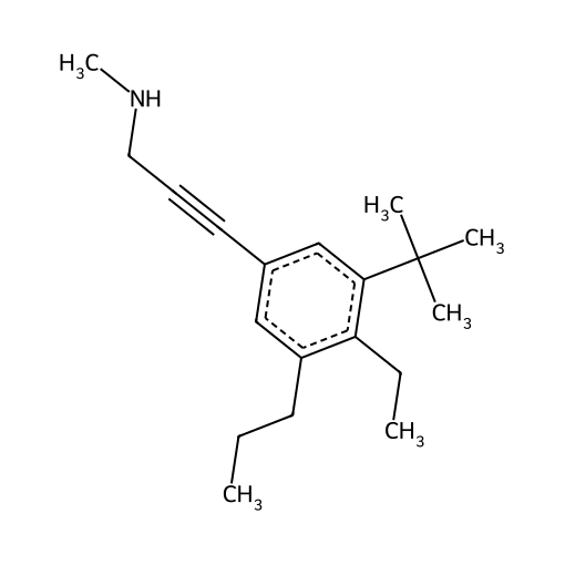 CCCc1cc(C#CCNC)cc(C(C)(C)C)c1CC